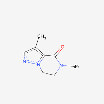 Cc1cnn2c1C(=O)N(C(C)C)CC2